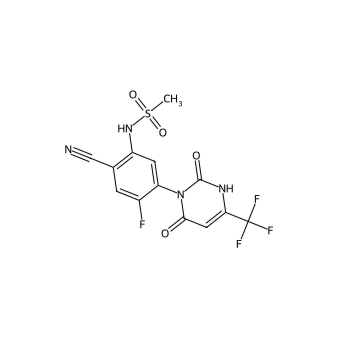 CS(=O)(=O)Nc1cc(-n2c(=O)cc(C(F)(F)F)[nH]c2=O)c(F)cc1C#N